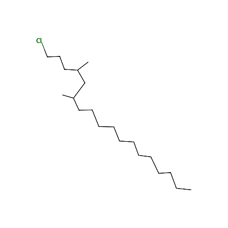 CCCCCCCCCCCCC(C)CC(C)CCCCl